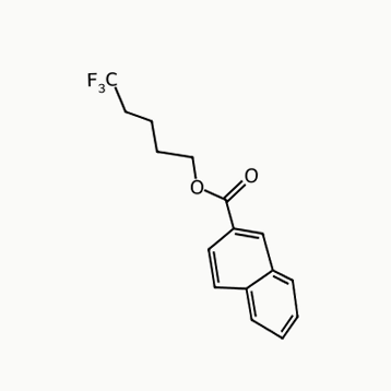 O=C(OCCCCC(F)(F)F)c1ccc2ccccc2c1